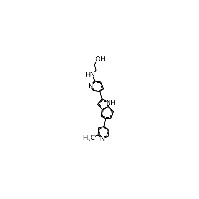 Cc1cc(-c2ccc3[nH]c(-c4ccc(NCCO)nc4)cc3c2)ccn1